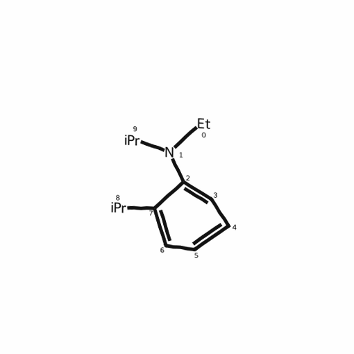 CCN(c1ccccc1C(C)C)C(C)C